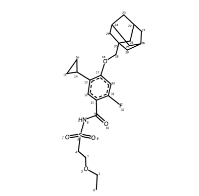 CCOCCS(=O)(=O)NC(=O)c1cc(C2CC2)c(OCC23CC4CC(CC(C4)C2)C3)cc1F